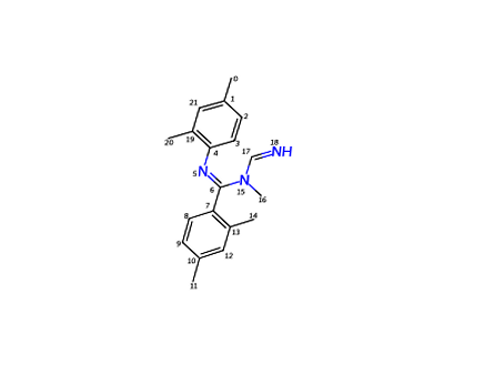 Cc1ccc(N=C(c2ccc(C)cc2C)N(C)C=N)c(C)c1